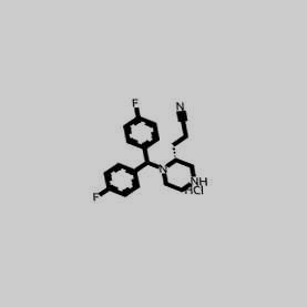 Cl.N#CCC[C@@H]1CNCCN1C(c1ccc(F)cc1)c1ccc(F)cc1